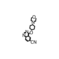 N#Cc1ccc2ncnc(O[C@H]3CC[C@H](N4CCOCC4)CC3)c2c1